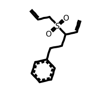 C=CCS(=O)(=O)C(C=C)CCc1ccccc1